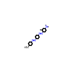 CCCCc1ccc(N=Nc2ccc(N=Nc3ccc(N(C)C)cc3C)cc2)cc1